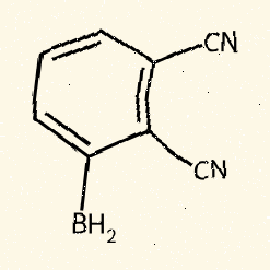 Bc1cccc(C#N)c1C#N